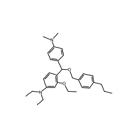 CCCc1ccc(COC(c2ccc(N(C)C)cc2)c2ccc(N(CC)CC)cc2OCC)cc1